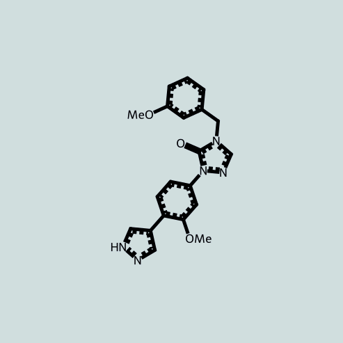 COc1cccc(Cn2cnn(-c3ccc(-c4cn[nH]c4)c(OC)c3)c2=O)c1